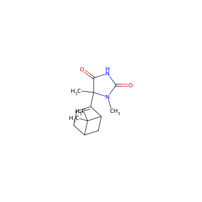 CN1C(=O)NC(=O)C1(C)C1=CCC2CC1C2(C)C